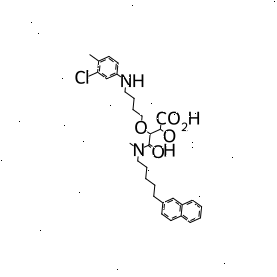 Cc1ccc(NCCCCOC(C(=O)N(C)CCCCCc2ccc3ccccc3c2)C(O)C(=O)O)cc1Cl